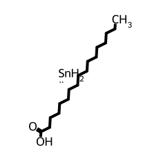 CCCCCCCCCCCCCCCCC(=O)O.[SnH2]